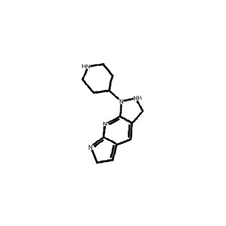 C1=c2cc3c(nc2=NC1)N(C1CCNCC1)NC3